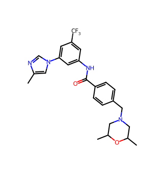 Cc1cn(-c2cc(NC(=O)c3ccc(CN4CC(C)OC(C)C4)cc3)cc(C(F)(F)F)c2)cn1